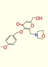 COc1ccc(COc2c(CN3CCOCC3)oc(CO)cc2=O)cc1